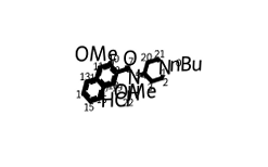 CCCCN1CCC(NC(=O)c2c(OC)cc3ccccc3c2OC)CC1.Cl